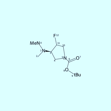 CNN(C)[C@@H]1CN(C(=O)OC(C)(C)C)CC1F